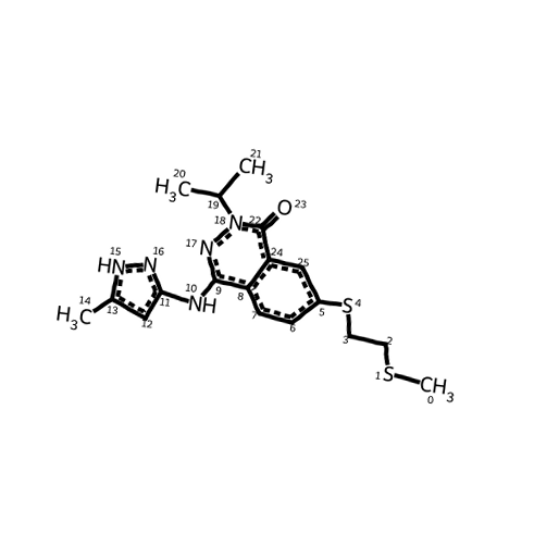 CSCCSc1ccc2c(Nc3cc(C)[nH]n3)nn(C(C)C)c(=O)c2c1